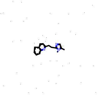 Cc1cnc(CCc2ccc3ccccc3n2)n1C